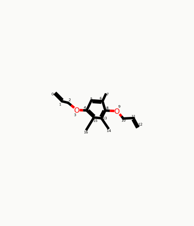 C=CCOc1cc(C)c(OCC=C)c(C)c1C